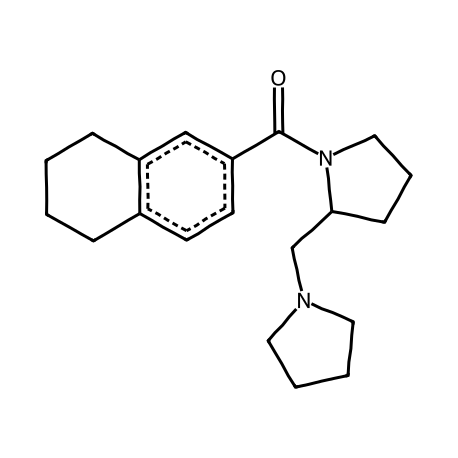 O=C(c1ccc2c(c1)CCCC2)N1CCCC1CN1CCCC1